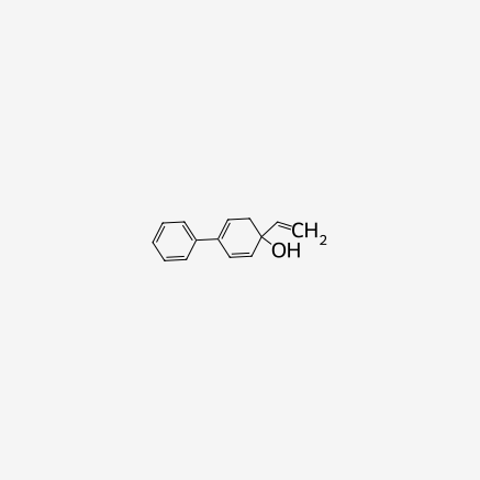 C=CC1(O)C=CC(c2ccccc2)=CC1